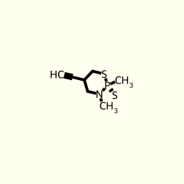 C#CC1CSP(C)(=S)N(C)C1